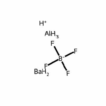 F[B-](F)(F)F.[AlH3].[BaH2].[H+]